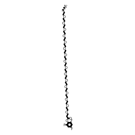 [N-]=[N+]=NCCOCCOCCOCCOCCOCCOCCOCCOCCOCCOCCOCCOCCOCCOCCOCCOCCC(=O)Oc1c(F)cc(F)cc1F